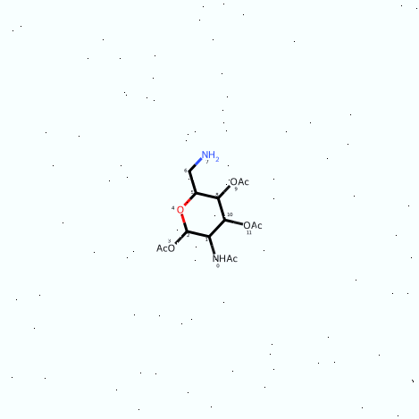 CC(=O)NC1C(OC(C)=O)OC(CN)C(OC(C)=O)C1OC(C)=O